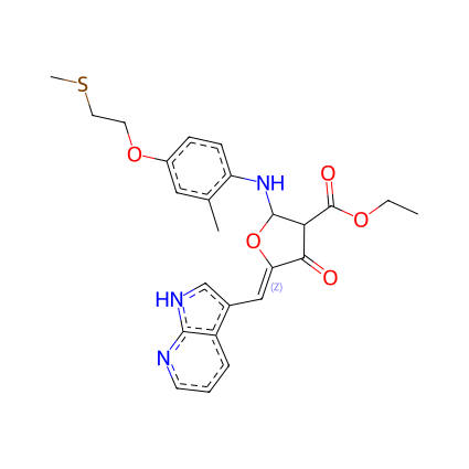 CCOC(=O)C1C(=O)/C(=C/c2c[nH]c3ncccc23)OC1Nc1ccc(OCCSC)cc1C